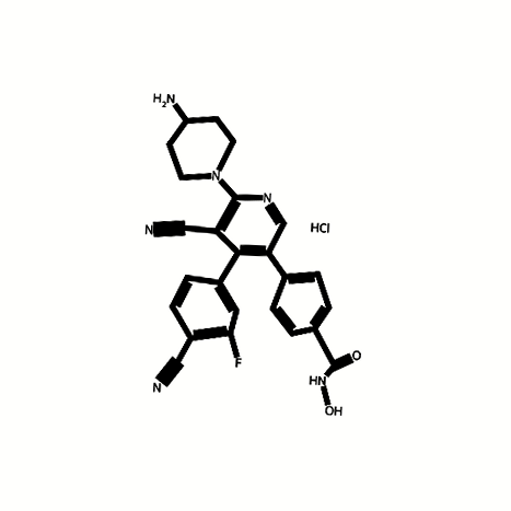 Cl.N#Cc1ccc(-c2c(-c3ccc(C(=O)NO)cc3)cnc(N3CCC(N)CC3)c2C#N)cc1F